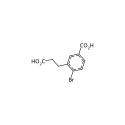 O=C(O)CCc1cc(C(=O)O)ccc1Br